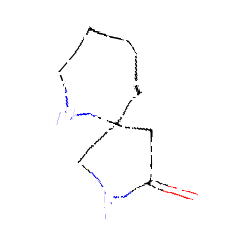 O=C1CC2([CH]N1)CCCCN2